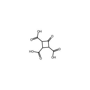 O=C(O)C1C(=O)C(C(=O)O)C1C(=O)O